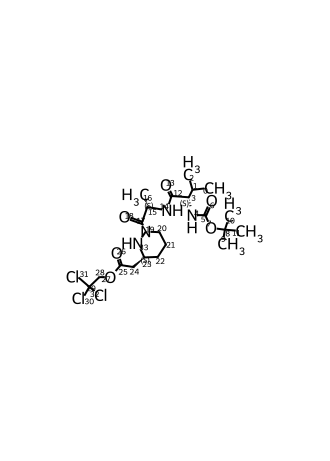 CC(C)[C@H](NC(=O)OC(C)(C)C)C(=O)N[C@@H](C)C(=O)N1CCC[C@@H](CC(=O)OCC(Cl)(Cl)Cl)N1